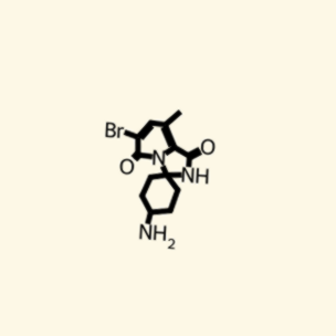 Cc1cc(Br)c(=O)n2c1C(=O)NC21CCC(N)CC1